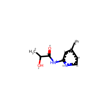 CC(O)C(=O)Nc1cc(C(C)C)ccn1